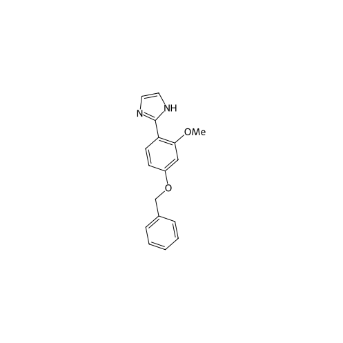 COc1cc(OCc2ccccc2)ccc1-c1ncc[nH]1